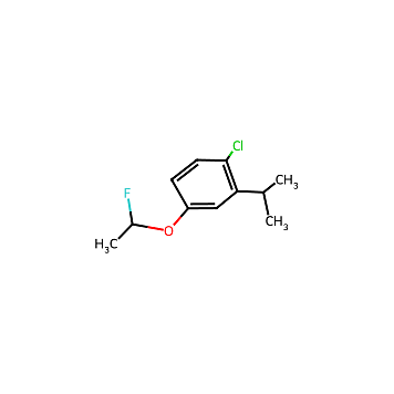 CC(F)Oc1ccc(Cl)c(C(C)C)c1